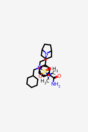 CN(C)S(=O)(=O)N(CCN1C2CCC1CC(c1cccc(C(N)=O)c1)C2)CC1CCCCC1